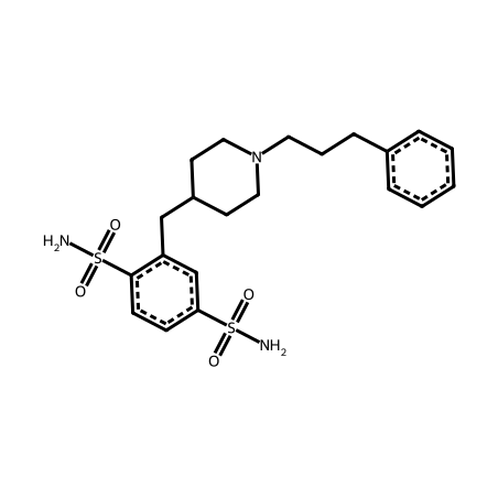 NS(=O)(=O)c1ccc(S(N)(=O)=O)c(CC2CCN(CCCc3ccccc3)CC2)c1